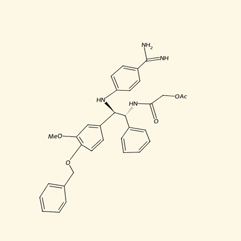 COc1cc([C@@H](Nc2ccc(C(=N)N)cc2)[C@H](NC(=O)COC(C)=O)c2ccccc2)ccc1OCc1ccccc1